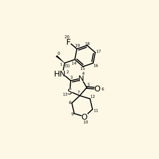 C[C@H](NC1=NC(=O)C2(CCOCC2)S1)c1ccccc1F